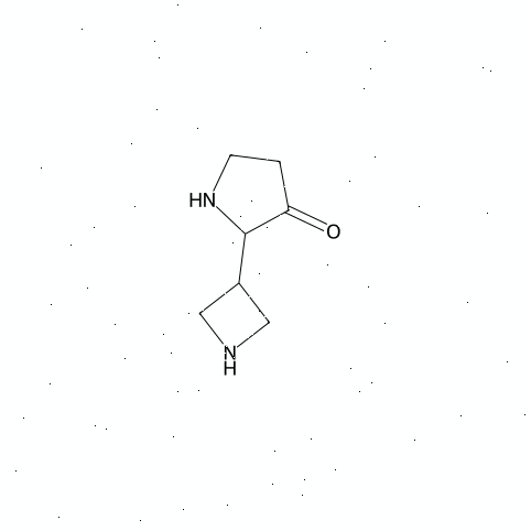 O=C1CCNC1C1CNC1